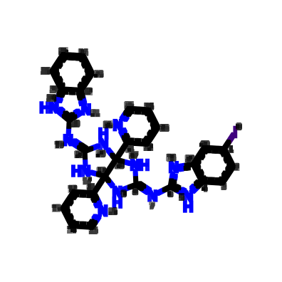 Ic1ccc2[nH]c(N=C3NC4(c5ccccn5)NC(=Nc5nc6ccccc6[nH]5)NC4(c4ccccn4)N3)nc2c1